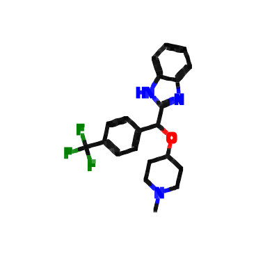 CN1CCC(OC(c2ccc(C(F)(F)F)cc2)c2nc3ccccc3[nH]2)CC1